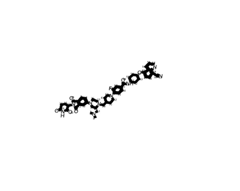 CN(C)C[C@@H]1CN(c2ccc3c(c2)C(=O)N(C2CCC(=O)NC2=O)C3=O)CCN1CC1CCN(c2ccc(C(=O)NC3CCC(Oc4ccc(C#N)c5ncccc45)CC3)cc2F)CC1